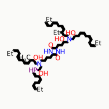 CC/C=C\C/C=C\C/C=C\CC(O)CN(CCCCC1NC(=O)C(CCCCN(CC(O)P/C=C\C/C=C\C/C=C\CC)CC(O)C(C)/C=C\C/C=C\C/C=C\CC)NC1=O)CC(O)C(/C=C\C/C=C\C/C=C\CC)CC